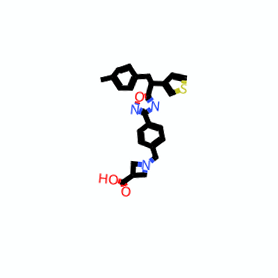 Cc1ccc(CC(c2ccsc2)c2nc(-c3ccc(CN4CC(C(=O)O)C4)cc3)no2)cc1